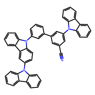 N#Cc1cc(-c2cccc(-n3c4ccccc4c4cc(-n5c6ccccc6c6ccccc65)ccc43)c2)cc(-n2c3ccccc3c3ccccc32)c1